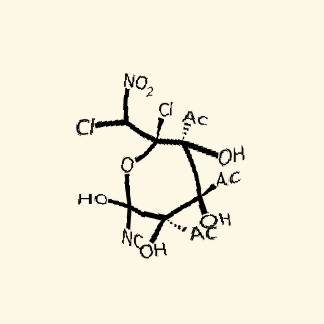 [C-]#[N+]C1(O)O[C@](Cl)(C(Cl)[N+](=O)[O-])[C@](O)(C(C)=O)[C@@](O)(C(C)=O)[C@]1(O)C(C)=O